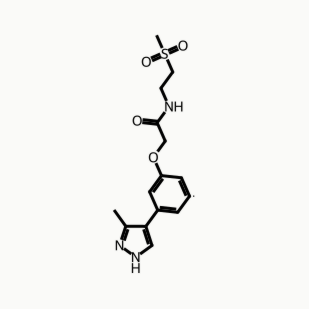 Cc1n[nH]cc1-c1c[c]cc(OCC(=O)NCCS(C)(=O)=O)c1